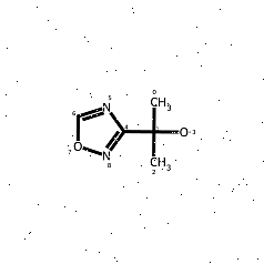 CC(C)([O])c1ncon1